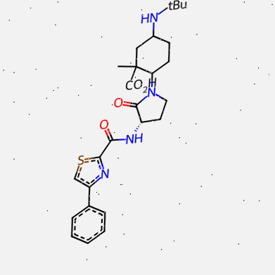 CC(C)(C)NC1CCC(N2CC[C@H](NC(=O)c3nc(-c4ccccc4)cs3)C2=O)C(C)(C(=O)O)C1